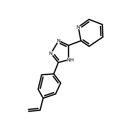 C=Cc1ccc(-c2nnc(-c3ccccn3)[nH]2)cc1